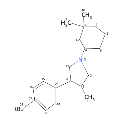 CC1CN(C2CCCC(C)(C)C2)CC1c1ccc(C(C)(C)C)cc1